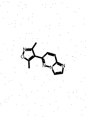 Cc1noc(C)c1-c1ccc2nccn2n1